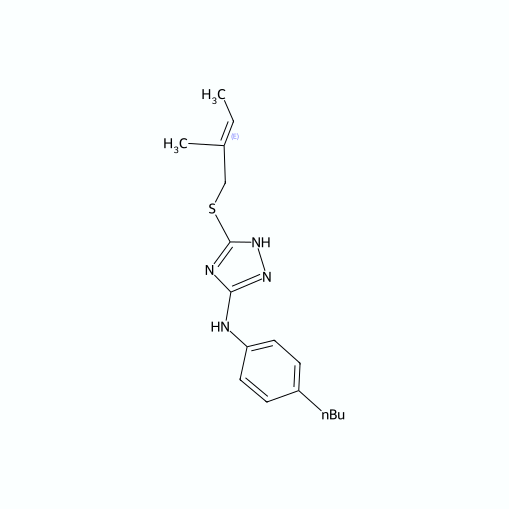 C/C=C(\C)CSc1nc(Nc2ccc(CCCC)cc2)n[nH]1